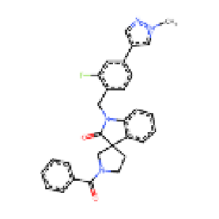 Cn1cc(-c2ccc(CN3C(=O)C4(CCN(C(=O)c5ccccc5)C4)c4ccccc43)c(F)c2)cn1